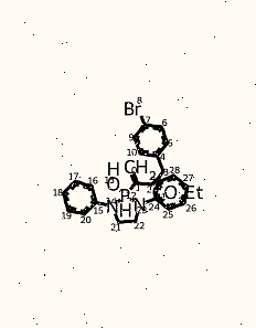 C=C(C(Cc1ccc(Br)cc1)C(=O)OCC)[PH]1(O)N(c2ccccc2)CCN1c1ccccc1